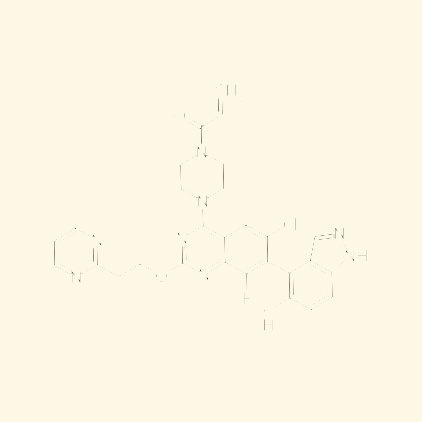 C=CC(=O)N1CCN(c2nc(OCCc3ncccn3)nc3c(F)c(-c4c(C)ccc5[nH]ncc45)c(Cl)cc23)CC1